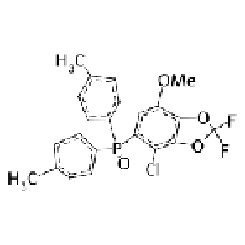 COc1cc(P(=O)(c2ccc(C)cc2)c2ccc(C)cc2)c(Cl)c2c1OC(F)(F)O2